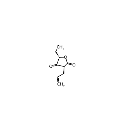 C=CC[C@@H]1C(=O)O[C@H](CC)C1=O